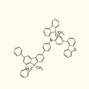 CC1(C)c2ccc(-c3ccc(N(c4ccc(-c5cccc6oc7ccccc7c56)cc4)c4cccc5c4C(C)(C)c4ccccc4-5)cc3)cc2-c2cc(-c3ccccc3)cc(-c3ccccc3)c21